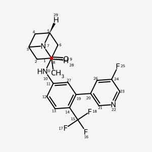 C[C@H]1CC2C[C@H](C1)N2C(=O)Nc1ccc(C(F)(F)F)c(-c2cncc(F)c2)c1